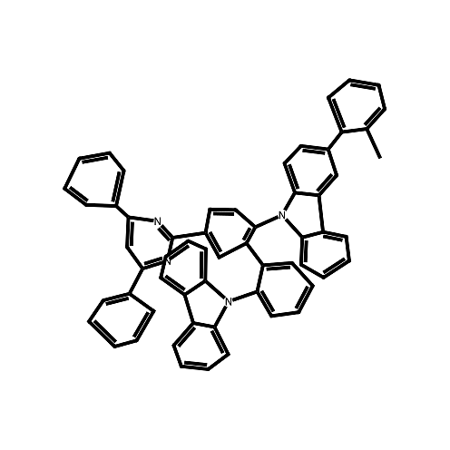 Cc1ccccc1-c1ccc2c(c1)c1ccccc1n2-c1ccc(-c2nc(-c3ccccc3)cc(-c3ccccc3)n2)cc1-c1ccccc1-n1c2ccccc2c2ccccc21